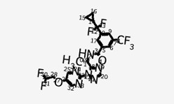 C[C@H](NC(=O)c1cc(C(F)(F)F)cc(C(F)(F)C2CC2)c1)c1ncnn1-c1ncc(OCC(F)F)cn1